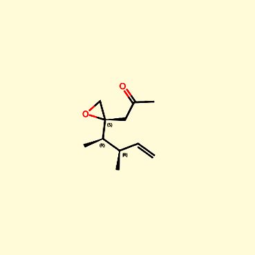 C=C[C@@H](C)[C@@H](C)[C@@]1(CC(C)=O)CO1